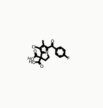 Cc1c(Cl)c2n(c1C(=O)c1ccc(F)cc1)CCC2(C(=O)O)C(=O)O